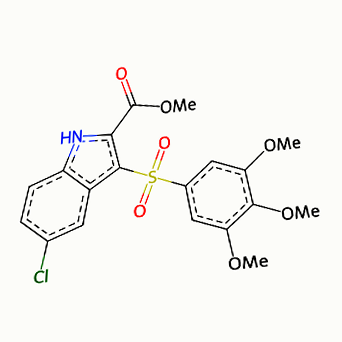 COC(=O)c1[nH]c2ccc(Cl)cc2c1S(=O)(=O)c1cc(OC)c(OC)c(OC)c1